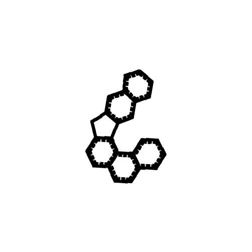 c1ccc2cc3c(cc2c1)Cc1ccc2ccc4ccccc4c2c1-3